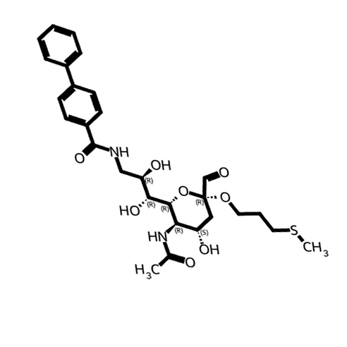 CSCCCO[C@]1(C=O)C[C@H](O)[C@@H](NC(C)=O)[C@H]([C@H](O)[C@H](O)CNC(=O)c2ccc(-c3ccccc3)cc2)O1